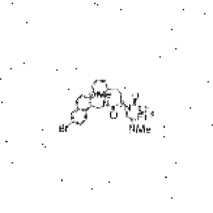 CC[C@@H](CN(C(=O)C(F)(F)F)[C@H]1CCc2ccccc2N(Cc2c(OC)ccc3cc(Br)ccc23)C1=O)NC